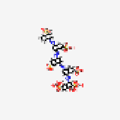 O=S(=O)(O)c1ccc2c(N=Nc3ccc(N=Nc4ccc(S(=O)(=O)O)c5ccccc45)c4ccc(S(=O)(=O)O)cc34)ccc(N=Nc3ccc(N=Nc4cc(S(=O)(=O)O)c(O)c5ccc(S(=O)(=O)O)c(O)c45)c4cc(S(=O)(=O)O)ccc34)c2c1